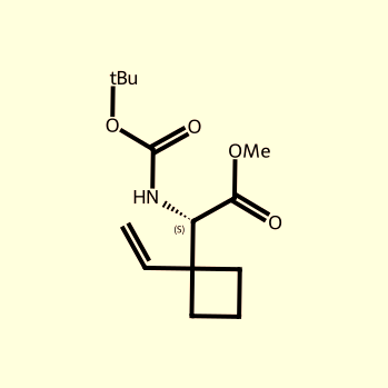 C=CC1([C@H](NC(=O)OC(C)(C)C)C(=O)OC)CCC1